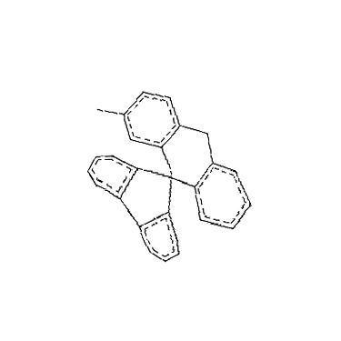 Cc1ccc2c(c1)C1(c3ccccc3C2)c2ccccc2-c2ccccc21